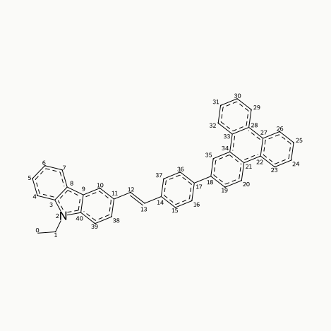 CCn1c2ccccc2c2cc(C=Cc3ccc(-c4ccc5c6ccccc6c6ccccc6c5c4)cc3)ccc21